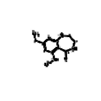 CCc1cc(NC)c2c(n1)NCCNC2=O